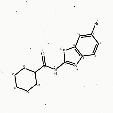 O=C(Nc1nc2ccc(Br)cc2s1)C1CCCCC1